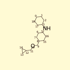 C1CCC(NC2CCC(COCC3CC3)CC2)CC1